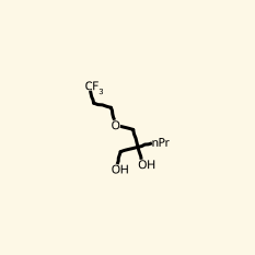 CCCC(O)(CO)COCCC(F)(F)F